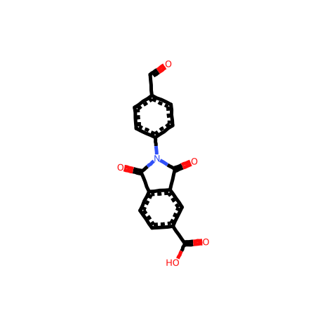 O=Cc1ccc(N2C(=O)c3ccc(C(=O)O)cc3C2=O)cc1